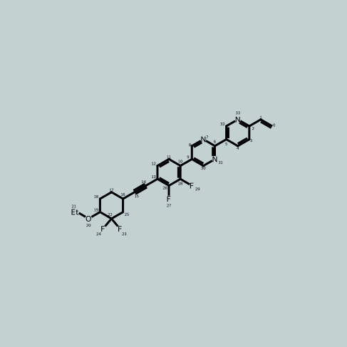 C=Cc1ccc(-c2ncc(-c3ccc(C#CC4CCC(OCC)C(F)(F)C4)c(F)c3F)cn2)cn1